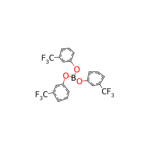 FC(F)(F)c1cccc(OB(Oc2cccc(C(F)(F)F)c2)Oc2cccc(C(F)(F)F)c2)c1